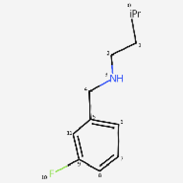 CC(C)CCNCc1cccc(F)c1